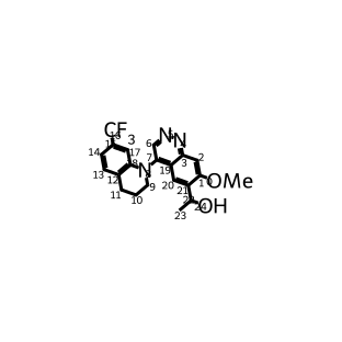 COc1cc2nncc(N3CCCc4ccc(C(F)(F)F)cc43)c2cc1C(C)O